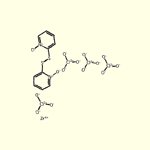 [O-][Cl+2]([O-])[O-].[O-][Cl+2]([O-])[O-].[O-][Cl+2]([O-])[O-].[O-][Cl+2]([O-])[O-].[O-][n+]1ccccc1SSc1cccc[n+]1[O-].[Zr+4]